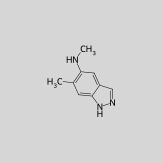 CNc1cc2cn[nH]c2cc1C